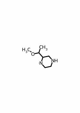 COC(C)C1CNCC[N]1